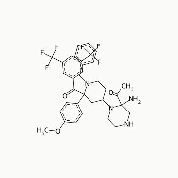 COc1ccc(C2(C(=O)c3cc(C(F)(F)F)cc(C(F)(F)F)c3)CC(N3CCNCC3(N)C(C)=O)CCN2Cc2ccccc2)cc1